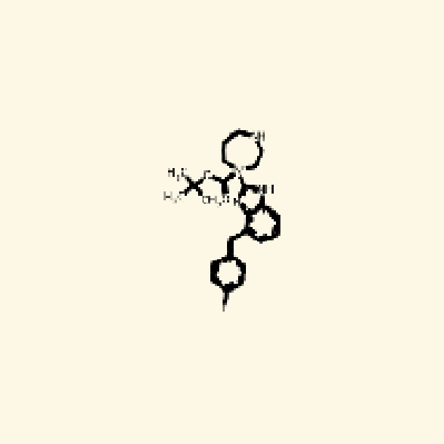 CC(C)(C)OC(=O)[N+]1(c2nc3c(Cc4ccc(F)cc4)cccc3[nH]2)CCCNCC1